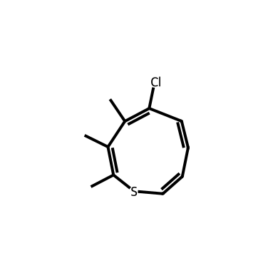 Cc1sccccc(Cl)c(C)c1C